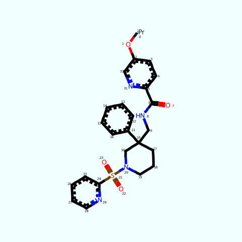 CC(C)Oc1ccc(C(=O)NCC2(c3ccccc3)CCCN(S(=O)(=O)c3ccccn3)C2)nc1